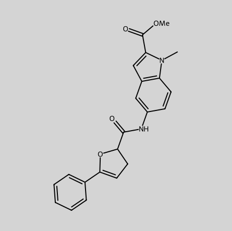 COC(=O)c1cc2cc(NC(=O)C3CC=C(c4ccccc4)O3)ccc2n1C